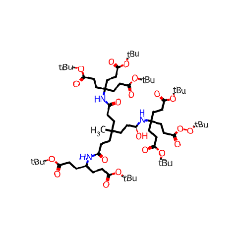 CC(CCC(=O)NC(CCC(=O)OC(C)(C)C)CCC(=O)OC(C)(C)C)(CCC(=O)NC(CCC(=O)OC(C)(C)C)(CCC(=O)OC(C)(C)C)CCC(=O)OC(C)(C)C)CC[C@H](O)NC(CCC(=O)OOC(C)(C)C)(CCC(=O)OC(C)(C)C)CCC(=O)OC(C)(C)C